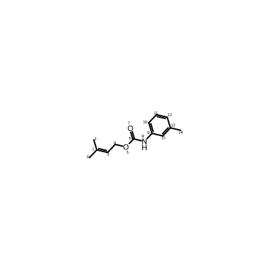 CC(C)=CCOC(=O)Nc1c[c]cc(C)c1